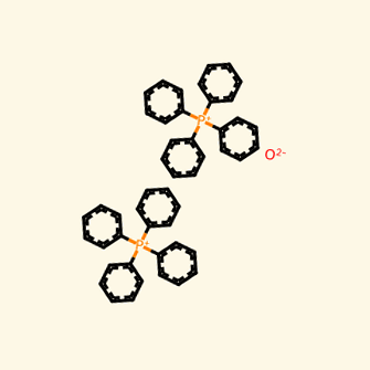 [O-2].c1ccc([P+](c2ccccc2)(c2ccccc2)c2ccccc2)cc1.c1ccc([P+](c2ccccc2)(c2ccccc2)c2ccccc2)cc1